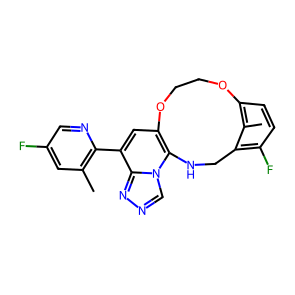 Cc1cc(F)cnc1-c1cc2c(n3cnnc13)NCc1c(F)ccc(c1C)OCCO2